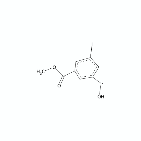 COC(=O)c1cc(I)cc([CH]O)c1